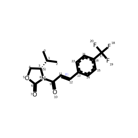 CC(C)[C@H]1COC(=O)N1C(=O)/C=C/c1ccc(C(F)(F)F)cc1